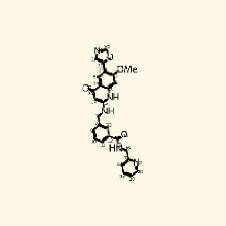 COc1cc2[nH]c(NCc3cccc(C(=O)NCc4ccccn4)c3)cc(=O)c2cc1-c1cnco1